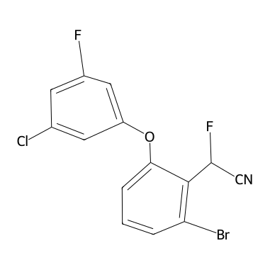 N#CC(F)c1c(Br)cccc1Oc1cc(F)cc(Cl)c1